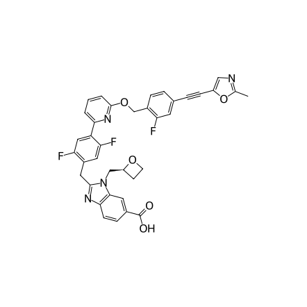 Cc1ncc(C#Cc2ccc(COc3cccc(-c4cc(F)c(Cc5nc6ccc(C(=O)O)cc6n5C[C@@H]5CCO5)cc4F)n3)c(F)c2)o1